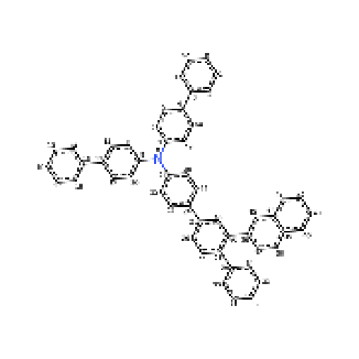 c1ccc(-c2ccc(N(c3ccc(-c4ccccc4)cc3)c3ccc(-c4ccc(-c5ccccc5)c(-c5ccc6ccccc6c5)c4)cc3)cc2)cc1